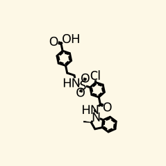 C[C@@H]1Cc2ccccc2N1NC(=O)c1ccc(Cl)c(S(=O)(=O)NCCc2ccc(C(=O)O)cc2)c1